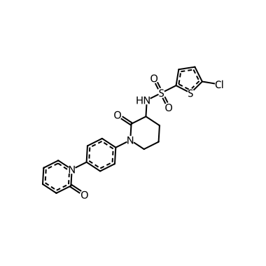 O=C1C(NS(=O)(=O)c2ccc(Cl)s2)CCCN1c1ccc(-n2ccccc2=O)cc1